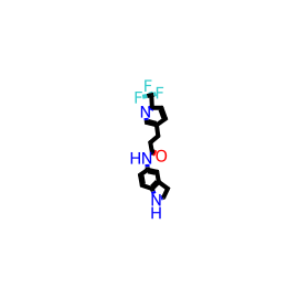 O=C(CCc1ccc(C(F)(F)F)nc1)Nc1ccc2c(c1)CCN2